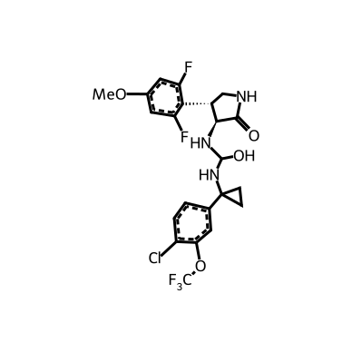 COc1cc(F)c([C@@H]2CNC(=O)[C@H]2NC(O)NC2(c3ccc(Cl)c(OC(F)(F)F)c3)CC2)c(F)c1